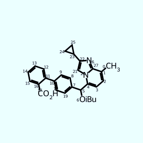 Cc1ccc(C(OCC(C)C)c2ccc(-c3ccccc3C(=O)O)cc2)n2cc(C3CC3)nc12